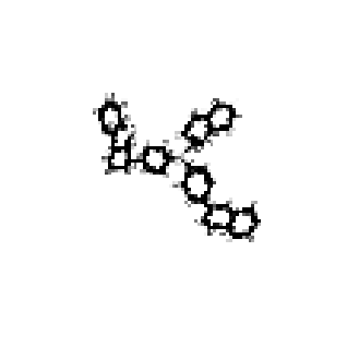 c1ccc2cc(-c3ccc(N(c4ccc(-c5cccc6c5oc5ccccc56)cc4)c4ccc5ccccc5c4)cc3)ccc2c1